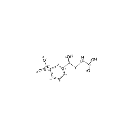 O=C(O)NCC(O)c1cccc([N+](=O)[O-])c1